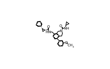 COc1cccc(-c2ccc(CNC(=O)[C@H]3C[C@@H]3c3ccccc3)c3c2CCN(C(=O)NC2CC2)C3)c1